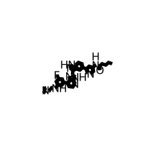 CCCCC(=O)Nc1cncc(-c2ccc3[nH]nc(-c4nc5c(-c6cc(F)cc(NCCN(C)C)c6)ccnc5[nH]4)c3c2)c1